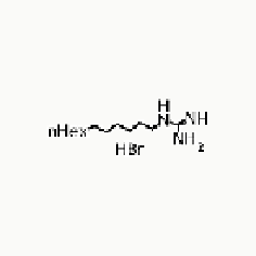 Br.CCCCCCCCCCCCNC(=N)N